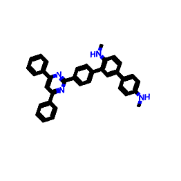 CNc1ccc(-c2ccc(NC)c(-c3ccc(-c4nc(-c5ccccc5)cc(-c5ccccc5)n4)cc3)c2)cc1